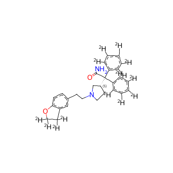 [2H]c1c([2H])c([2H])c(C(C(N)=O)(c2c([2H])c([2H])c([2H])c([2H])c2[2H])[C@@H]2CCN(CCc3ccc4c(c3)C([2H])([2H])C([2H])([2H])O4)C2)c([2H])c1[2H]